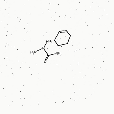 C1=CCCCC1.NC(=O)N(N)N